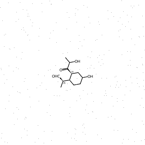 CC(O)C(=O)[C@H]1CC(O)CCC1[C@@H](C)C=O